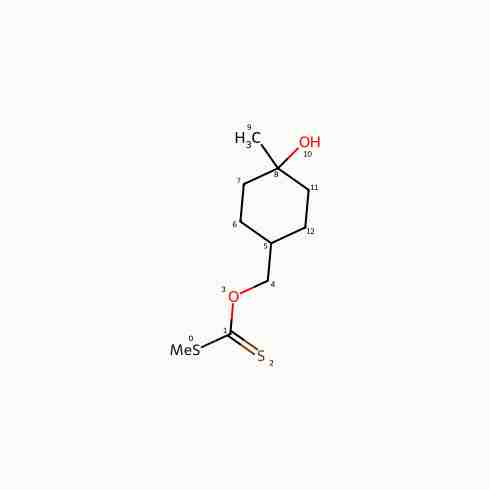 CSC(=S)OCC1CCC(C)(O)CC1